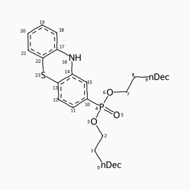 CCCCCCCCCCCCOP(=O)(OCCCCCCCCCCCC)c1ccc2c(c1)Nc1ccccc1S2